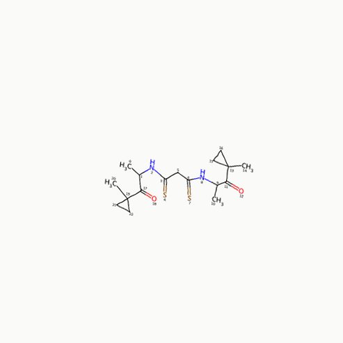 CC(NC(=S)CC(=S)NC(C)C(=O)C1(C)CC1)C(=O)C1(C)CC1